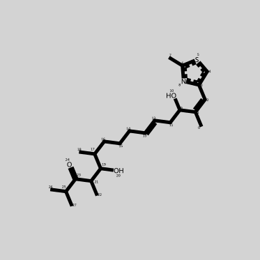 CC(=Cc1csc(C)n1)C(O)CC=CCCCC(C)C(O)C(C)C(=O)C(C)C